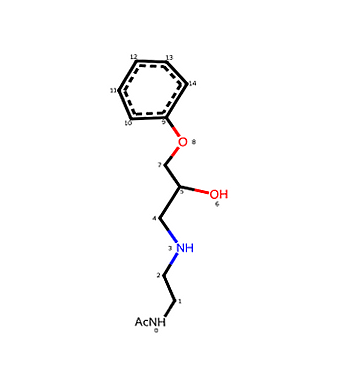 CC(=O)NCCNCC(O)COc1ccccc1